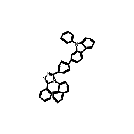 c1ccc(-c2nnc(-c3ccc(-c4ccc5c6ccccc6n(-c6ccccc6)c5c4)cc3)n2-c2cccc3ccccc23)cc1